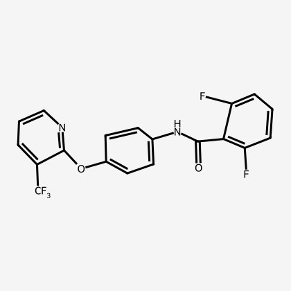 O=C(Nc1ccc(Oc2ncccc2C(F)(F)F)cc1)c1c(F)cccc1F